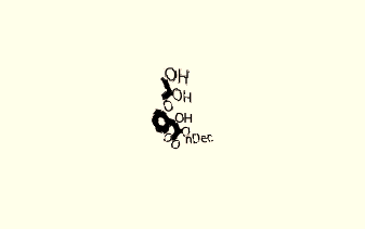 CCCCCCCCCCOc1c(O)c2c(OCC(O)CO)cccc2oc1=O